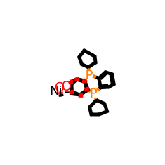 C=O.C=O.[Ni].c1ccc(P(C2CCCCC2)C2CCCCC2)c(P(C2CCCCC2)C2CCCCC2)c1